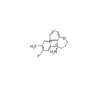 Cc1ccc([C@@]2(N)CCCOc3cccnc32)cc1F